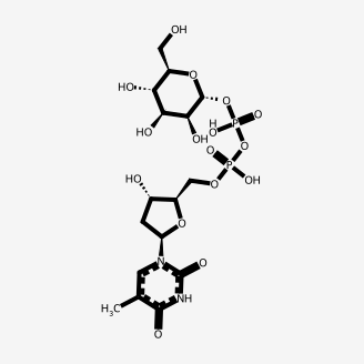 Cc1cn([C@H]2C[C@H](O)[C@@H](COP(=O)(O)OP(=O)(O)O[C@H]3O[C@H](CO)[C@@H](O)[C@H](O)[C@@H]3O)O2)c(=O)[nH]c1=O